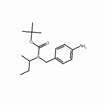 CCC(C)N(Cc1ccc(N)cc1)C(=O)OC(C)(C)C